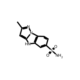 Cc1cc2[nH]c3cc(S(N)(=O)=O)ccc3n2n1